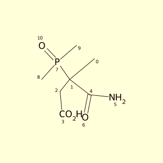 CC(CC(=O)O)(C(N)=O)P(C)(C)=O